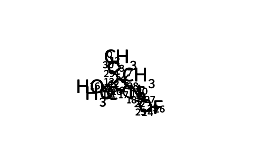 Cc1ccc(-c2c(C)c3c(c(C)c2CC(=O)O)CCN(Sc2cccc(F)c2)C3)cc1